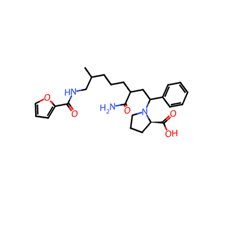 CC(CCCC(CC(c1ccccc1)N1CCC[C@@H]1C(=O)O)C(N)=O)CNC(=O)c1ccco1